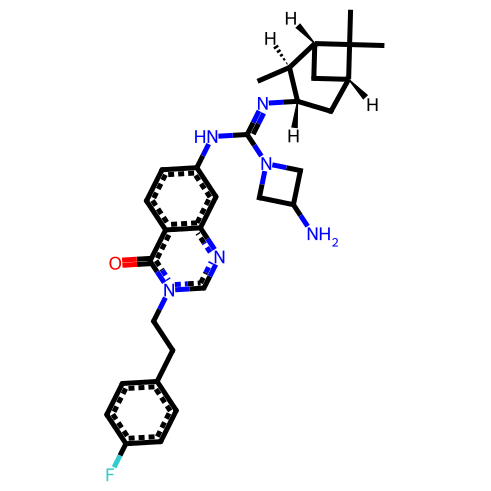 C[C@@H]1[C@@H](/N=C(/Nc2ccc3c(=O)n(CCc4ccc(F)cc4)cnc3c2)N2CC(N)C2)C[C@@H]2C[C@H]1C2(C)C